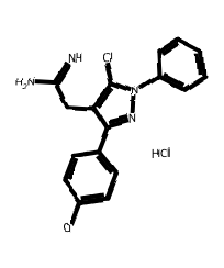 Cl.N=C(N)Cc1c(-c2ccc(Cl)cc2)nn(-c2ccccc2)c1Cl